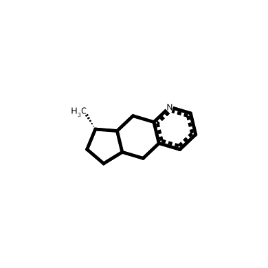 C[C@H]1CCC2Cc3cccnc3CC21